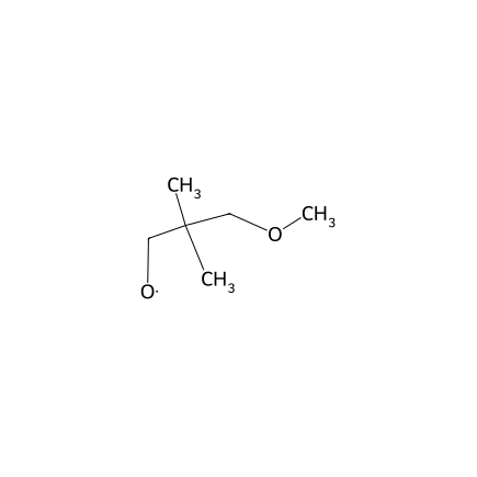 COCC(C)(C)C[O]